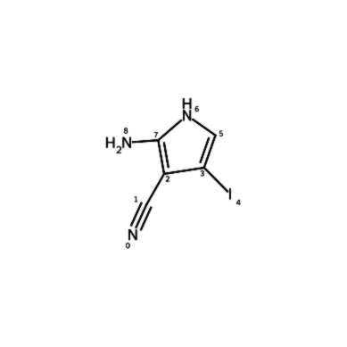 N#Cc1c(I)c[nH]c1N